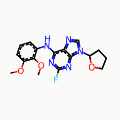 COc1cccc(Nc2nc(F)nc3c2ncn3C2CCCO2)c1OC